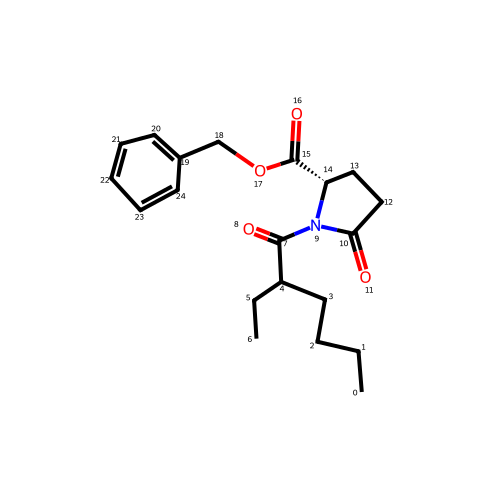 CCCCC(CC)C(=O)N1C(=O)CC[C@H]1C(=O)OCc1ccccc1